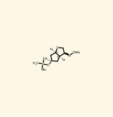 CON=C1CO[C@@H]2C[C@H](O[Si](C)(C)C(C)(C)C)C[C@H]12